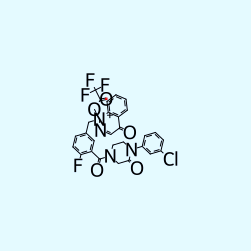 O=C1C=N[N+](Cc2ccc(F)c(C(=O)N3CCN(c4cccc(Cl)c4)C(=O)C3)c2)(OC(=O)C(F)(F)F)c2ccccc21